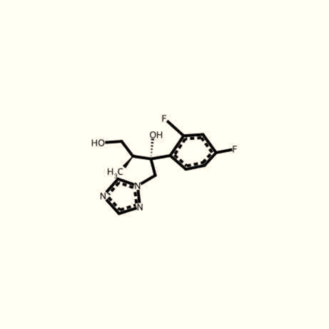 C[C@@H](CO)[C@](O)(Cn1cncn1)c1ccc(F)cc1F